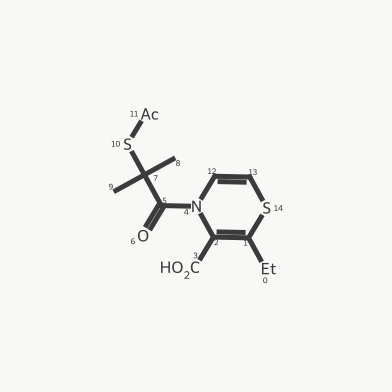 CCC1=C(C(=O)O)N(C(=O)C(C)(C)SC(C)=O)C=CS1